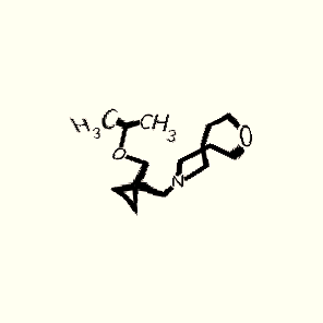 CC(C)OCC1(CN2CC3(CCOC3)C2)CC1